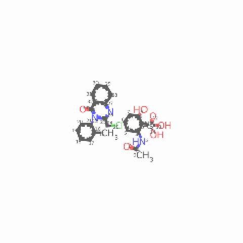 CC(=O)Nc1cccc(O)c1[As](=O)(O)O.Cc1ccccc1-n1c(CCl)nc2ccccc2c1=O